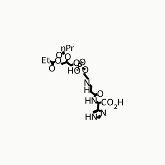 CCCC(=O)OC(COC(=O)CC)COP(=O)(O)OCCNCCC(=O)NC(C(=O)O)c1c[nH]cn1